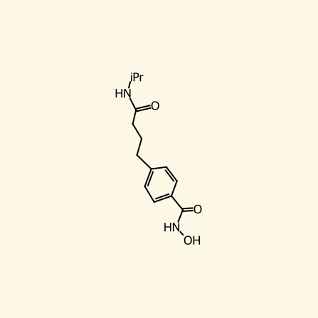 CC(C)NC(=O)CCCc1ccc(C(=O)NO)cc1